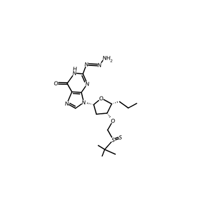 CCC[C@H]1O[C@@H](n2cnc3c(=O)[nH]c(N=NN)nc32)C[C@H]1OCS(=S)C(C)(C)C